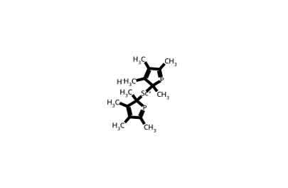 CC1=P[C](C)([Sc+][C]2(C)P=C(C)C(C)=C2C)C(C)=C1C.[H-]